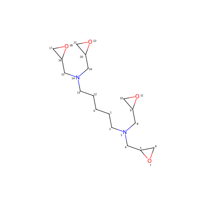 C(CCN(CC1CO1)CC1CO1)CCN(CC1CO1)CC1CO1